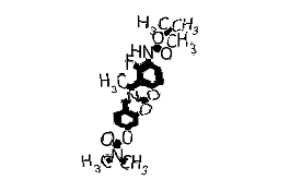 CC(c1cccc(NC(=O)OC(C)(C)C)c1F)N1Cc2ccc(OC(=O)N(C)C)cc2OC1=O